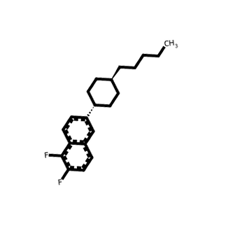 CCCCC[C@H]1CC[C@H](c2ccc3c(F)c(F)ccc3c2)CC1